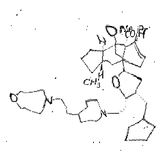 COC12CC3C=C(C(C)C)[C@@]1(C(=O)O)C3([C@H]1C[C@H](CC3CCCC3)[C@H](CN3CCC(CCN4CCOCC4)CC3)O1)C[C@@H]1[C@H](C)CC[C@H]12